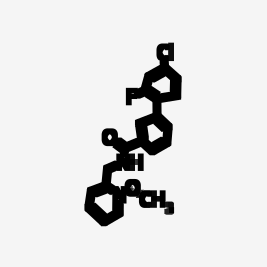 CO[n+]1ccccc1CNC(=O)c1cccc(-c2ccc(Cl)cc2F)c1